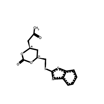 CC(=O)C[C@H]1C[C@@H](CSc2nc3ccccc3s2)OC(=O)O1